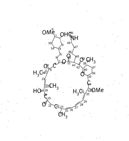 COC1CCC(CCC2CC(=O)C(C)/C=C(\C)C(O)CC(=O)CCC(C)/C=C/C=C/C=C(\C)C(OC)CC3CC[C@@H](C)C(O3)C(=O)C(CCCCNC=O)C(=O)O2)CC1